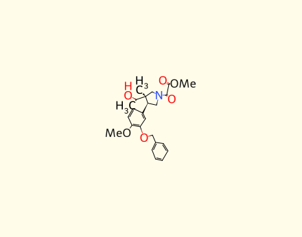 COC(=O)C(=O)N1C[C@@H](c2ccc(OC)c(OCc3ccccc3)c2)[C@](C)([C@@H](C)O)C1